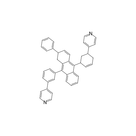 C1=CC(c2c3c(c(-c4cccc(-c5ccncc5)c4)c4ccccc24)CC(c2ccccc2)C=C3)CC(c2ccncc2)C1